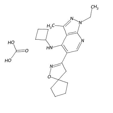 CCn1nc(C)c2c(NC3CCC3)c(C3=NOC4(CCCC4)C3)cnc21.O=C(O)O